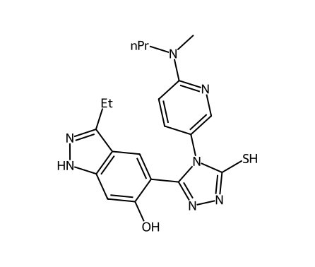 CCCN(C)c1ccc(-n2c(S)nnc2-c2cc3c(CC)n[nH]c3cc2O)cn1